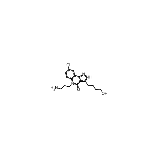 NCCCn1c(=O)c2c(CCCCO)[nH]nc2c2cc(Cl)ccc21